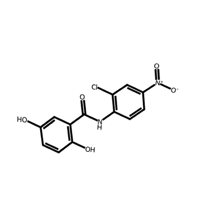 O=C(Nc1ccc([N+](=O)[O-])cc1Cl)c1cc(O)ccc1O